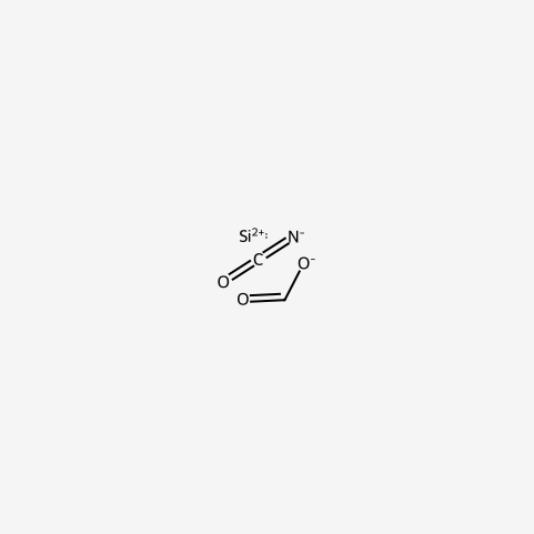 O=C[O-].[N-]=C=O.[Si+2]